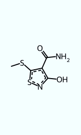 CSc1snc(O)c1C(N)=O